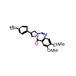 COc1cc2c(cc1OC)C(=O)N1C=C(c3ccc(C(C)(C)C)cc3)CC1C=N2